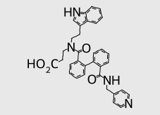 O=C(O)CCN(CCc1c[nH]c2ccccc12)C(=O)c1ccccc1-c1ccccc1C(=O)NCc1ccncc1